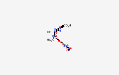 CC(C)(CC(=O)O)C(C)(C)CC(=O)NCC1CCC(C(=O)NC(CCC(=O)NC(CCC(=O)O)C(=O)NCCCOCCOCCOCCCNC(=O)CCN2C(=O)C=CC2=O)C(=O)O)CC1